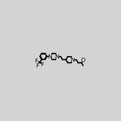 CC(=O)CCN1CCC(CCN2CCN(c3cccc(C(F)(F)F)c3)CC2)CC1